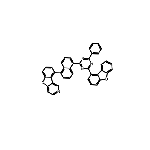 c1ccc(-c2nc(-c3cccc4c(-c5cccc6oc7ccncc7c56)cccc34)nc(-c3cccc4oc5ccccc5c34)n2)cc1